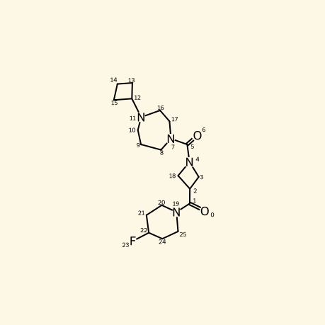 O=C(C1CN(C(=O)N2CCCN(C3CCC3)CC2)C1)N1CCC(F)CC1